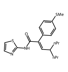 CCCC(/C=C(/C(=O)Nc1nccs1)c1ccc(SC)cc1)CCC